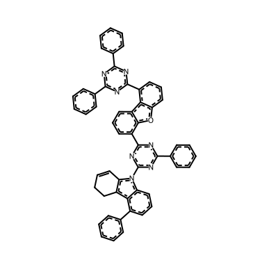 C1=Cc2c(c3c(-c4ccccc4)cccc3n2-c2nc(-c3ccccc3)nc(-c3cccc4c3oc3cccc(-c5nc(-c6ccccc6)nc(-c6ccccc6)n5)c34)n2)CC1